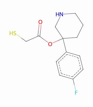 O=C(CS)OC1(c2ccc(F)cc2)CCCNC1